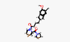 COc1cc2c(cc1C)CC(CCCC(=O)N1C=CSC=C1C(=O)N1CCSC1)=C2